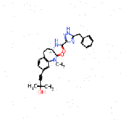 CN1C(=O)[C@@H](NC(=O)c2n[nH]c(Cc3ccccc3)n2)CCc2ccc(C#CC(C)(C)O)cc21